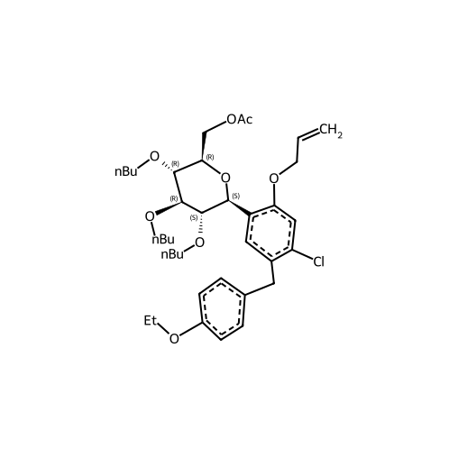 C=CCOc1cc(Cl)c(Cc2ccc(OCC)cc2)cc1[C@@H]1O[C@H](COC(C)=O)[C@@H](OCCCC)[C@H](OCCCC)[C@H]1OCCCC